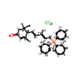 CC1=CC(=O)CC(C)(C)C1/C=C/C(C)=C/C[P+](c1ccccc1)(c1ccccc1)c1ccccc1.[Cl-]